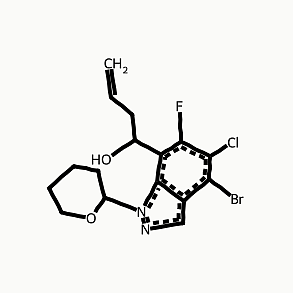 C=CCC(O)c1c(F)c(Cl)c(Br)c2cnn(C3CCCCO3)c12